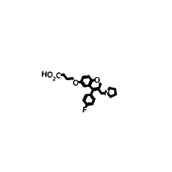 O=C(O)CCCOc1ccc2c(c1)C(c1ccc(F)cc1)=C(CN1CCCC1)CO2